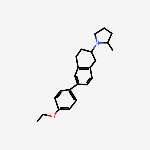 CCOc1ccc(-c2ccc3c(c2)CCC(N2CCCC2C)C3)cc1